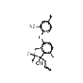 C=CCC1(O)c2c(I)ccc(Oc3ccc(F)cc3C#N)c2CC1(F)F